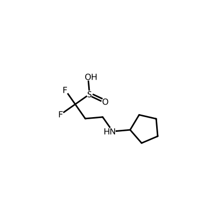 O=S(O)C(F)(F)CCNC1CCCC1